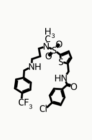 CN(CCCNCc1ccc(C(F)(F)F)cc1)S(=O)(=O)c1ccc(CNC(=O)c2ccc(Cl)cc2)s1